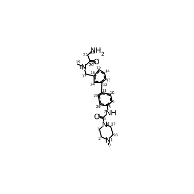 CN1CCN(C(=O)Nc2ccc(-c3cccc(CN(C)C(=O)CN)c3)cc2)CC1